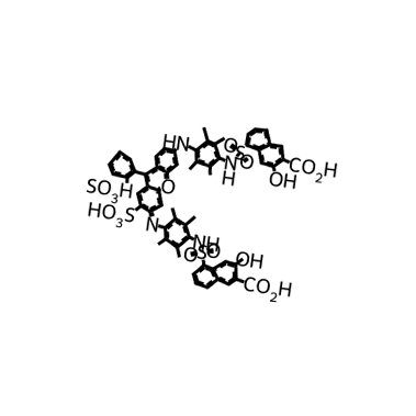 Cc1c(C)c(NS(=O)(=O)c2cccc3cc(C(=O)O)c(O)cc23)c(C)c(C)c1/N=c1\cc2oc3cc(Nc4c(C)c(C)c(NS(=O)(=O)c5cccc6cc(C(=O)O)c(O)cc56)c(C)c4C)ccc3c(-c3ccccc3S(=O)(=O)O)c-2cc1S(=O)(=O)O